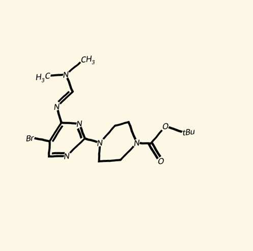 CN(C)C=Nc1nc(N2CCN(C(=O)OC(C)(C)C)CC2)ncc1Br